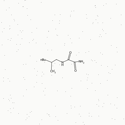 CCCCC(C)CNC(=O)C(N)=O